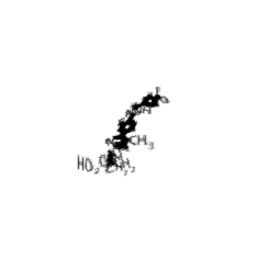 Cc1cc(OCC(C)(C)C(=O)O)ncc1-c1ccc(-c2ncc(-c3ccc(C(=O)I)cc3)[nH]2)c(F)c1